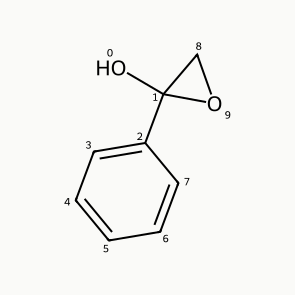 OC1(c2ccccc2)CO1